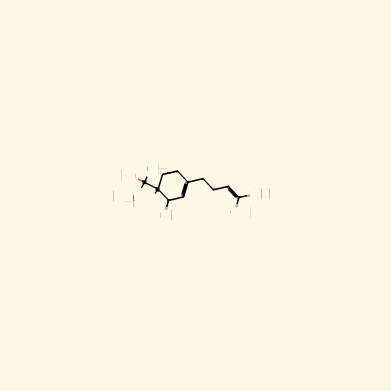 CC(C)=CCCC1=CC(C)C(C)(C(C)(C)O)CC1